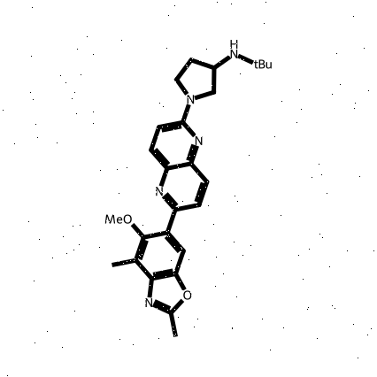 COc1c(-c2ccc3nc(N4CCC(NC(C)(C)C)C4)ccc3n2)cc2oc(C)nc2c1C